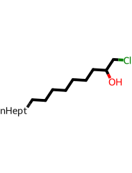 CCCCCCCCCCCCCCC(O)CCl